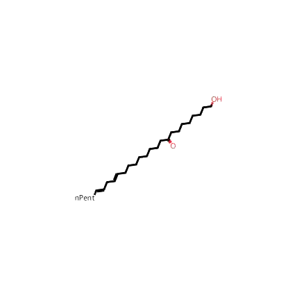 CCCCCC=CCC=CCCCCCCCCC(=O)CCCCCCCCO